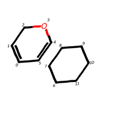 C1=CCOC=C1.C1CCCCC1